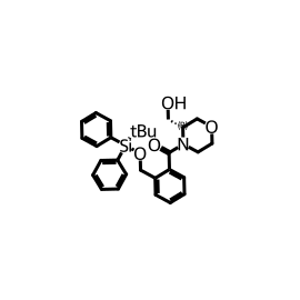 CC(C)(C)[Si](OCc1ccccc1C(=O)N1CCOC[C@H]1CO)(c1ccccc1)c1ccccc1